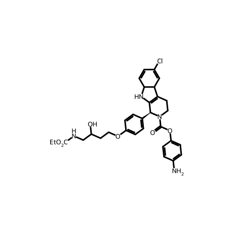 CCOC(=O)NCC(O)CCOc1ccc([C@H]2C3=C(CCN2C(=O)Oc2ccc(N)cc2)C2C=C(Cl)C=CC2N3)cc1